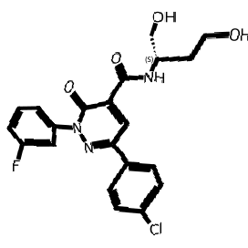 O=C(N[C@H](CO)CCO)c1cc(-c2ccc(Cl)cc2)nn(-c2cccc(F)c2)c1=O